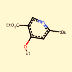 CCOC(=O)c1cnc(C(C)(C)C)cc1OCC